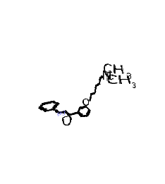 CN(C)CCCCCCOc1cccc(C(=O)/C=C/c2ccccc2)c1